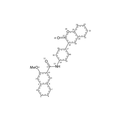 COc1cc2ccccc2cc1C(=O)Nc1ccc(-c2cc3ccccc3oc2=O)cc1